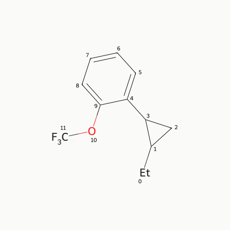 CCC1CC1c1ccccc1OC(F)(F)F